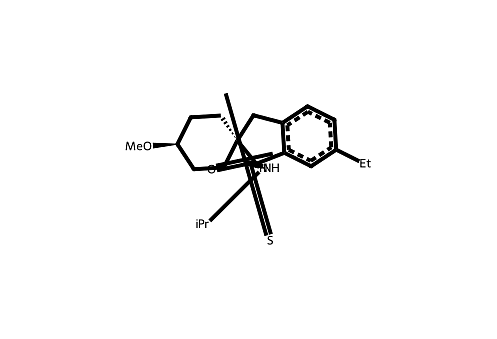 CCc1ccc2c(c1)C1(NC(=S)N(C(C)C)C1=O)[C@]1(CC[C@H](OC)CC1)C2